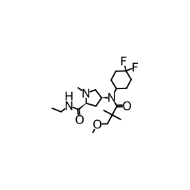 CCNC(=O)[C@@H]1C[C@H](N(C(=O)C(C)(C)COC)C2CCC(F)(F)CC2)CN1C